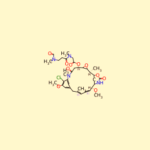 COc1cc2cc(c1Cl)N(C)C(=O)C[C@H](OC(=O)CN(C)C(=O)CCN(C)C=O)C1OC1[C@H](C)C1CC(NC(=O)O1)[C@H](OC)/C=C/C=C(\C)C2